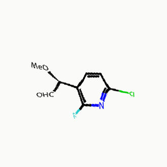 CO[C@H](C=O)c1ccc(Cl)nc1F